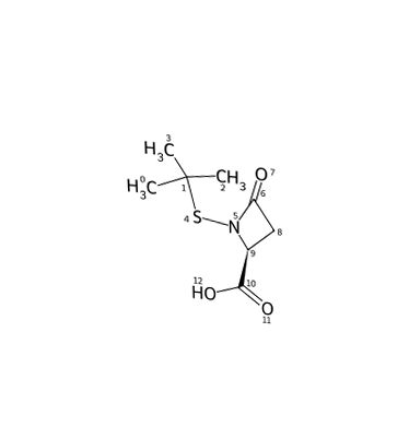 CC(C)(C)SN1C(=O)C[C@H]1C(=O)O